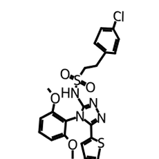 COc1cccc(OC)c1-n1c(NS(=O)(=O)CCc2ccc(Cl)cc2)nnc1-c1cccs1